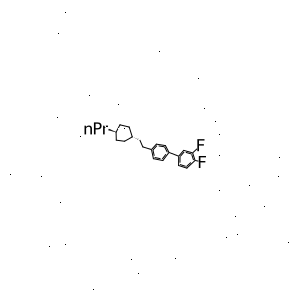 CCC[C@H]1CC[C@H](CCc2ccc(-c3ccc(F)c(F)c3)cc2)CC1